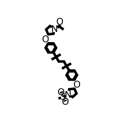 CC(=O)N1CCC(Oc2ccc(C(C)(C)CCC(C)(C)c3ccc(OC4CCN(S(C)(=O)=O)C4)cc3)cc2)C1